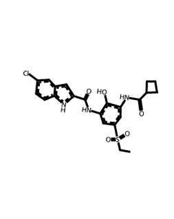 CCS(=O)(=O)c1cc(NC(=O)c2cc3cc(Cl)ccc3[nH]2)c(O)c(NC(=O)C2CCC2)c1